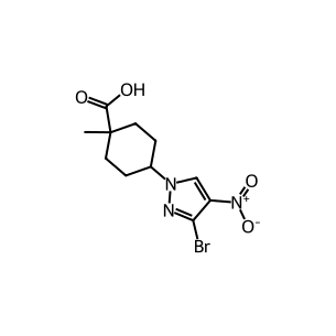 CC1(C(=O)O)CCC(n2cc([N+](=O)[O-])c(Br)n2)CC1